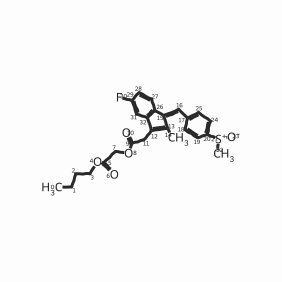 CCCCOC(=O)COC(=O)CC1=C(C)C(=Cc2ccc([S+](C)[O-])cc2)c2ccc(F)cc21